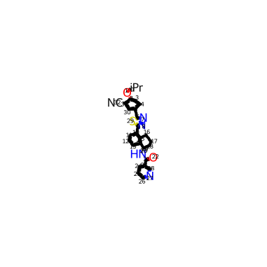 CC(C)Oc1ccc(-c2nnc(-c3cccc4c3CCC[C@@H]4NC(=O)c3cccnc3)s2)cc1C#N